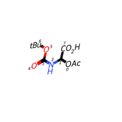 CC(=O)OC(NC(=O)OC(C)(C)C)C(=O)O